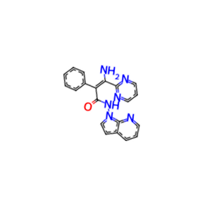 NC(=C(C(=O)Nn1ccc2cccnc21)c1ccccc1)c1ncccn1